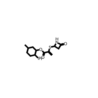 C=C(SC1CC(=O)N1)C(=O)OC1CC(C)CCC1C(C)C